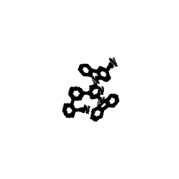 N#Cc1ccc2c(c1)c1ccccc1n2-c1cc(-c2cccc(-c3ccccc3C#N)c2)cc(-n2c3ccccc3c3ccccc32)n1